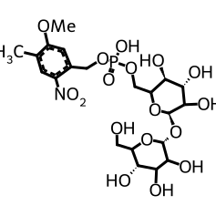 COc1cc(COP(=O)(O)OCC2O[C@H](O[C@H]3OC(CO)[C@@H](O)C(O)C3O)C(O)[C@@H](O)[C@@H]2O)c([N+](=O)[O-])cc1C